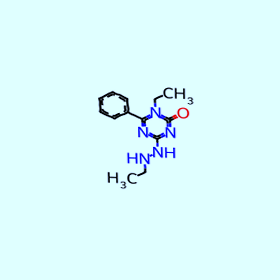 CCNNc1nc(-c2ccccc2)n(CC)c(=O)n1